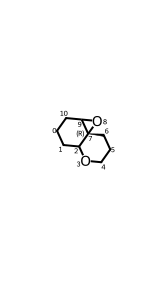 C1CC2OCCC[C@@]23OC3C1